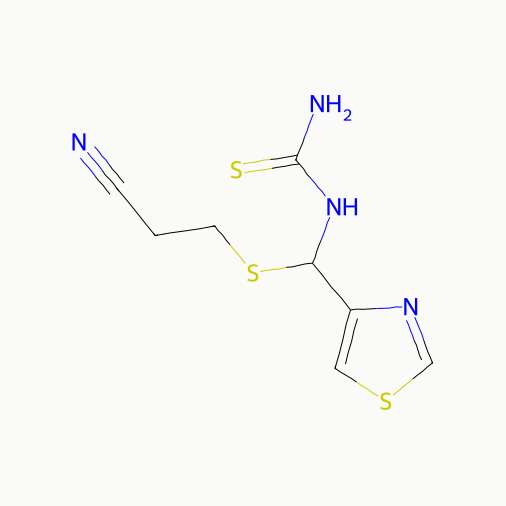 N#CCCSC(NC(N)=S)c1cscn1